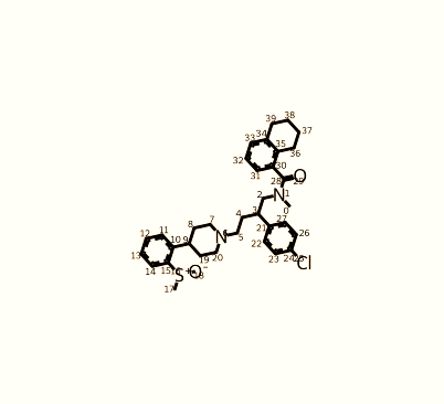 CN(CC(CCN1CCC(c2ccccc2[S+](C)[O-])CC1)c1ccc(Cl)cc1)C(=O)c1cccc2c1CCCC2